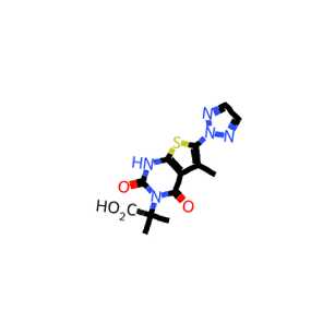 Cc1c(-n2nccn2)sc2[nH]c(=O)n(C(C)(C)C(=O)O)c(=O)c12